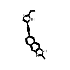 CCc1ncc(C#Cc2ccc3cc4nc(C)[nH]c4cc3c2)[nH]1